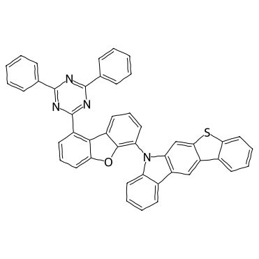 c1ccc(-c2nc(-c3ccccc3)nc(-c3cccc4oc5c(-n6c7ccccc7c7cc8c(cc76)sc6ccccc68)cccc5c34)n2)cc1